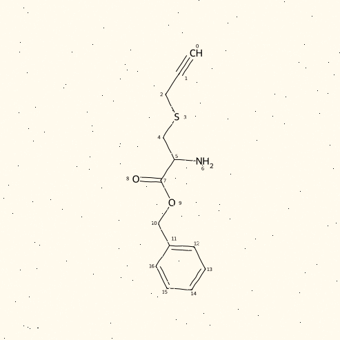 C#CCSCC(N)C(=O)OCc1ccccc1